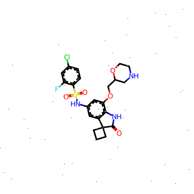 O=C1Nc2c(OCC3CNCCO3)cc(NS(=O)(=O)c3ccc(Cl)cc3F)cc2C12CCC2